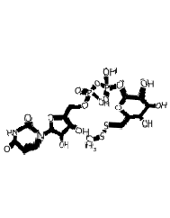 CSSCC1OC(OP(=O)(O)OP(=O)(O)OCC2OC(n3ccc(=O)[nH]c3=O)C(O)C2O)C(O)C(O)C1O